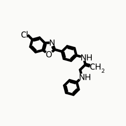 C=C(CNc1ccccc1)Nc1ccc(-c2nc3cc(Cl)ccc3o2)cc1